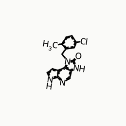 Cc1ccc(Cl)cc1Cn1c(=O)[nH]c2cnc3[nH]ccc3c21